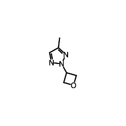 Cc1cnn(C2COC2)n1